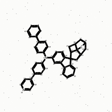 c1ccc(-c2ccc(N(c3ccc(-c4ccncc4)cc3)c3ccc4c(c3)-c3ccccc3C43C4CC5CC6CC3C6(C5)C4)cc2)cc1